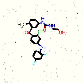 Cc1ccc(NC(=O)NCCO)cc1C(=O)c1ccc(Nc2ccc(F)cc2F)cc1Cl